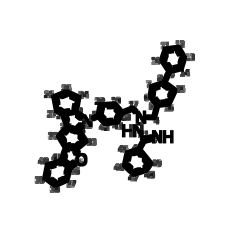 N=C(NN(Cc1ccc(-c2ccccc2)cc1)Cc1ccc(-n2c3ccccc3c3cc4c(cc32)oc2ccccc24)cc1)c1ccccc1